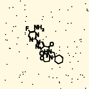 Nc1nc(-n2cc(C(=O)NCC3(N4CCOCC4)CCCCC3)c(C(F)(F)F)n2)ncc1F